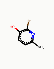 O=[N+]([O-])c1ccc(O)c(Br)n1